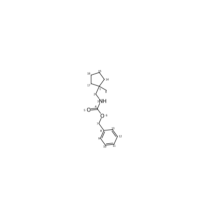 CC1(CNC(=O)OCc2ccccc2)CCCC1